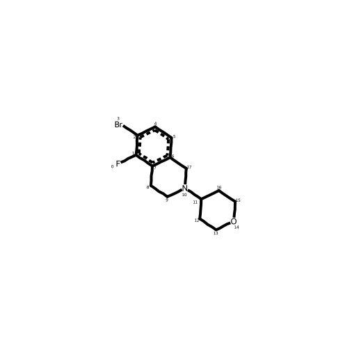 Fc1c(Br)ccc2c1CCN(C1CCOCC1)C2